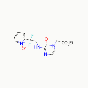 CCOC(=O)Cn1ccnc(NCC(F)(F)c2cccc[n+]2[O-])c1=O